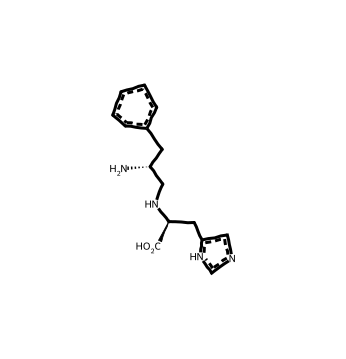 N[C@@H](CN[C@@H](Cc1cnc[nH]1)C(=O)O)Cc1ccccc1